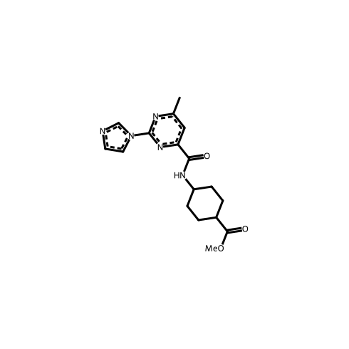 COC(=O)C1CCC(NC(=O)c2cc(C)nc(-n3ccnc3)n2)CC1